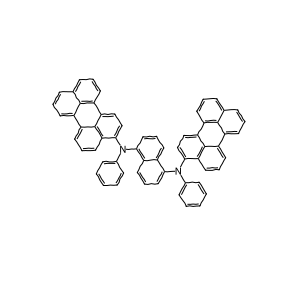 c1ccc(N(c2cccc3c(N(c4ccccc4)c4ccc5c6cccc7cccc(c8cccc4c85)c76)cccc23)c2ccc3c4cccc5cccc(c6cccc2c63)c54)cc1